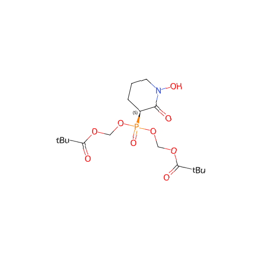 CC(C)(C)C(=O)OCOP(=O)(OCOC(=O)C(C)(C)C)[C@H]1CCCN(O)C1=O